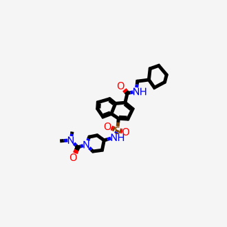 CN(C)C(=O)N1CCC(NS(=O)(=O)c2ccc(C(=O)NCC3CCCCC3)c3ccccc23)CC1